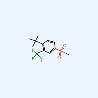 CC(C)(C)c1ccc(S(C)(=O)=O)cc1C(F)(F)F